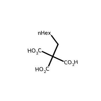 CCCCCCCC(C(=O)O)(C(=O)O)C(=O)O